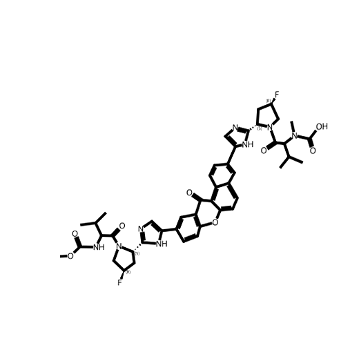 COC(=O)NC(C(=O)N1C[C@H](F)C[C@H]1c1ncc(-c2ccc3oc4ccc5cc(-c6cnc([C@@H]7C[C@@H](F)CN7C(=O)C(C(C)C)N(C)C(=O)O)[nH]6)ccc5c4c(=O)c3c2)[nH]1)C(C)C